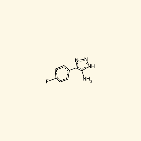 Nc1[nH]nnc1-c1ccc(F)cc1